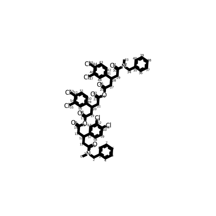 CN(Cc1ccccc1)C(=O)CC(CC(=O)OC(=O)CC(CC(=O)OC(=O)CC(CC(=O)N(C)Cc1ccccc1)c1ccc(Cl)c(Cl)c1)c1ccc(Cl)c(Cl)c1)c1ccc(Cl)c(Cl)c1